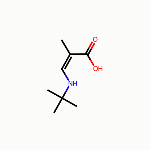 CC(=CNC(C)(C)C)C(=O)O